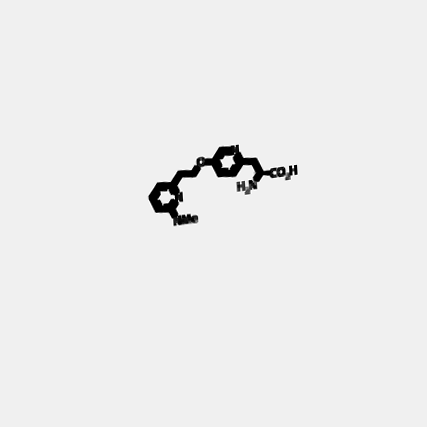 CNc1cccc(CCOc2ccc(C[C@H](N)C(=O)O)nc2)n1